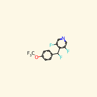 Fc1cncc(F)c1C(F)c1ccc(OC(F)(F)F)cc1